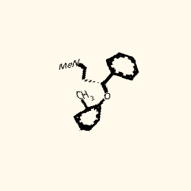 CNCC[C@@H](Oc1cc#ccc1C)c1ccccc1